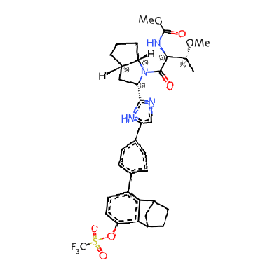 COC(=O)N[C@H](C(=O)N1[C@H](c2ncc(-c3ccc(-c4ccc(OS(=O)(=O)C(F)(F)F)c5c4C4CCC5C4)cc3)[nH]2)C[C@@H]2CCC[C@@H]21)[C@@H](C)OC